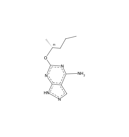 CCC[C@@H](C)Oc1nc(N)c2cn[nH]c2n1